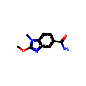 COc1nc2cc(C(N)=O)ccc2n1C